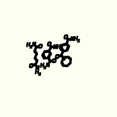 NC(=O)CCCCC(N)=O.NC(=O)c1ccc(C(=O)N2CCCCCC2)cc1.NC(=O)c1cccc(C(N)=O)c1